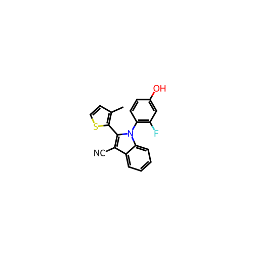 Cc1ccsc1-c1c(C#N)c2ccccc2n1-c1ccc(O)cc1F